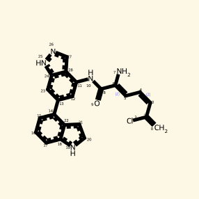 C=C(Cl)/C=C\C=C(/N)C(=O)Nc1cc(-c2cccc3[nH]ccc23)cc2[nH]ncc12